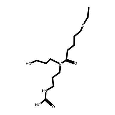 CCCCCCCC(=O)N(CCCO)CCCNC(=O)O